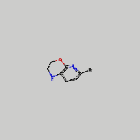 CC(C)c1ccc2c(n1)OCCN2